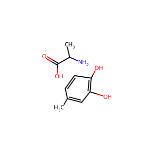 CC(N)C(=O)O.Cc1ccc(O)c(O)c1